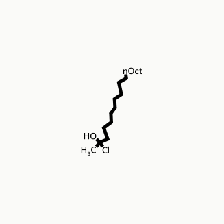 CCCCCCCCCCCCCCCCCC(C)(O)Cl